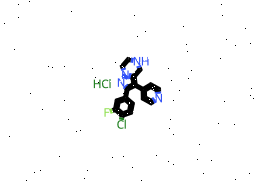 Cl.Fc1cc(-c2nn3c(c2-c2ccncc2)CNCC3)ccc1Cl